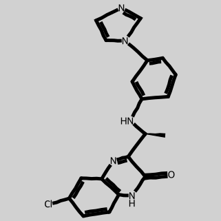 C[C@H](Nc1cccc(-n2ccnc2)c1)c1nc2cc(Cl)ccc2[nH]c1=O